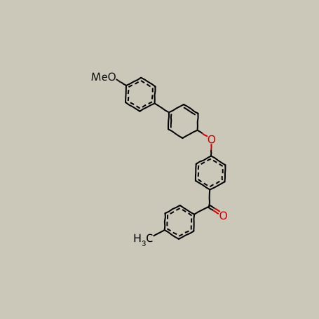 COc1ccc(C2=CCC(Oc3ccc(C(=O)c4ccc(C)cc4)cc3)C=C2)cc1